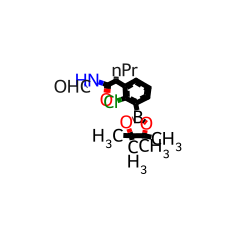 CCCC(C(=O)NC=O)c1cccc(B2OC(C)(C)C(C)(C)O2)c1Cl